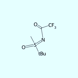 CC(C)(C)S(C)(=O)=NC(=O)C(F)(F)F